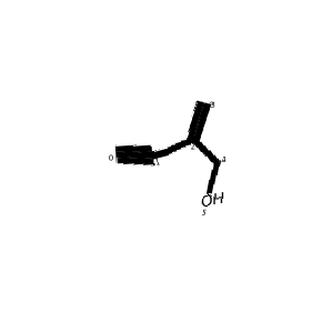 C#CC(=C)CO